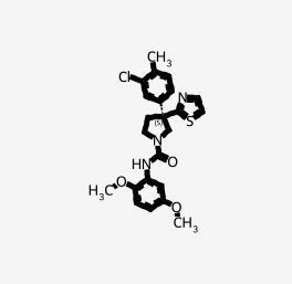 COc1ccc(OC)c(NC(=O)N2CC[C@@](c3ccc(C)c(Cl)c3)(c3nccs3)C2)c1